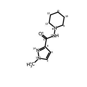 Cn1ccc(C(=O)NN2CCCCC2)n1